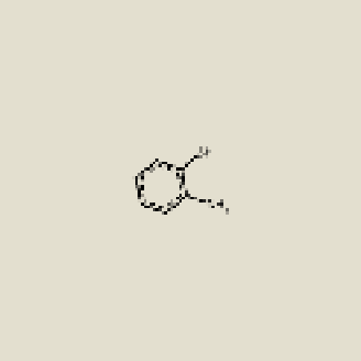 Nc1cc[c]cc1S